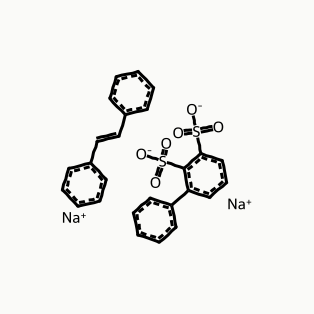 C(=Cc1ccccc1)c1ccccc1.O=S(=O)([O-])c1cccc(-c2ccccc2)c1S(=O)(=O)[O-].[Na+].[Na+]